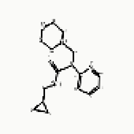 S=C(NCC1CC1)C(CN1CCOCC1)c1ccccn1